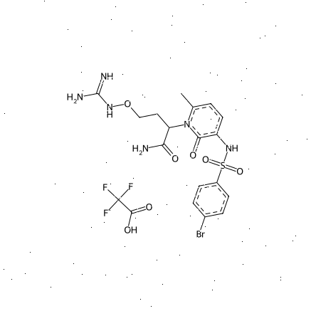 Cc1ccc(NS(=O)(=O)c2ccc(Br)cc2)c(=O)n1C(CCONC(=N)N)C(N)=O.O=C(O)C(F)(F)F